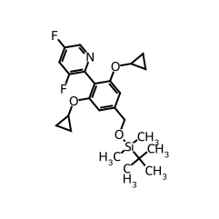 CC(C)(C)[Si](C)(C)OCc1cc(OC2CC2)c(-c2ncc(F)cc2F)c(OC2CC2)c1